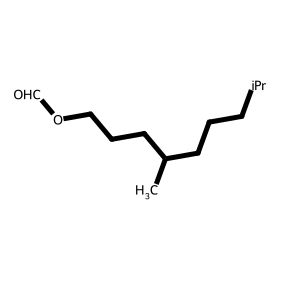 CC(C)CCCC(C)CCCOC=O